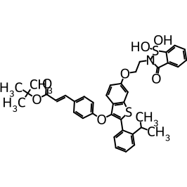 CC(C)c1ccccc1-c1sc2cc(OCCN3C(=O)c4ccccc4S3(O)O)ccc2c1Oc1ccc(C=CC(=O)OC(C)(C)C)cc1